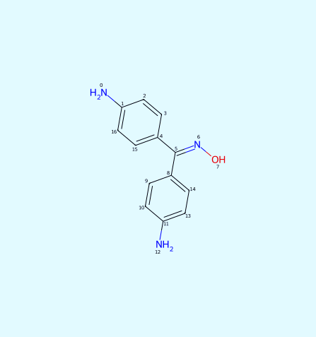 Nc1ccc(C(=NO)c2ccc(N)cc2)cc1